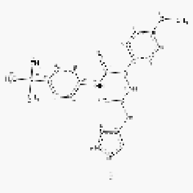 COc1ccc(C(NC(=O)Cc2cc(O)no2)C(=O)Nc2ccc([Si](C)(C)C)cc2)cc1